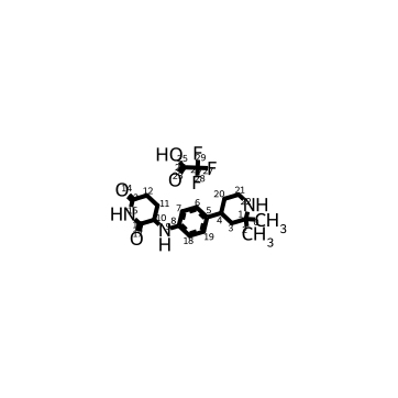 CC1(C)CC(c2ccc(NC3CCC(=O)NC3=O)cc2)CCN1.O=C(O)C(F)(F)F